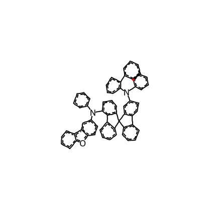 c1ccc(-c2ccccc2N(c2ccccc2)c2ccc3c(c2)C2(c4ccccc4-3)c3ccccc3-c3c(N(c4ccccc4)c4ccc5oc6ccccc6c5c4)cccc32)cc1